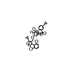 O=C(O)c1cc(C2CC2)ccc1N1C(=O)[C@@H]2C[C@H]1C[C@H]2OCc1c(-c2c(Cl)cccc2Cl)noc1C1CC1